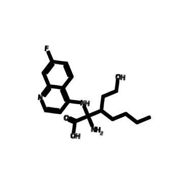 CCCCC(CCO)C(N)(Nc1ccnc2cc(F)ccc12)C(=O)O